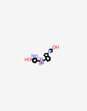 Nc1cc(-c2nc(-c3cccc4c3CC[C@@H]4N3CC(O)C3)no2)ccc1O